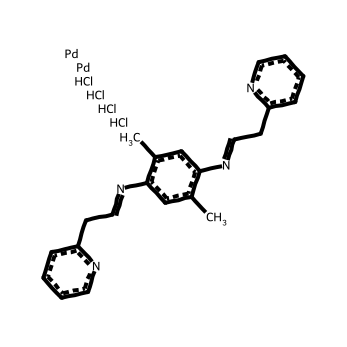 Cc1cc(N=CCc2ccccn2)c(C)cc1N=CCc1ccccn1.Cl.Cl.Cl.Cl.[Pd].[Pd]